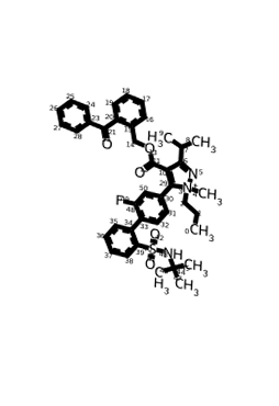 CCC[N+]1(C)N=C(C(C)C)C(C(=O)OCc2ccccc2C(=O)c2ccccc2)=C1c1ccc(-c2ccccc2S(=O)(=O)NC(C)(C)C)c(F)c1